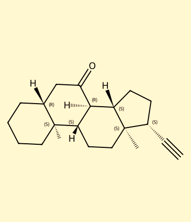 C#C[C@H]1CC[C@H]2[C@@H]3C(=O)C[C@H]4CCCC[C@]4(C)[C@H]3CC[C@]12C